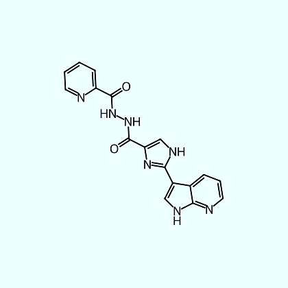 O=C(NNC(=O)c1c[nH]c(-c2c[nH]c3ncccc23)n1)c1ccccn1